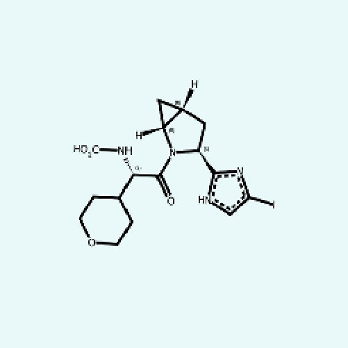 O=C(O)N[C@H](C(=O)N1[C@@H]2C[C@@H]2C[C@H]1c1nc(I)c[nH]1)C1CCOCC1